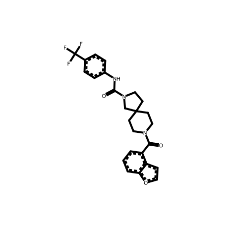 O=C(Nc1ccc(C(F)(F)F)cc1)N1CCC2(CCN(C(=O)c3cccc4occc34)CC2)C1